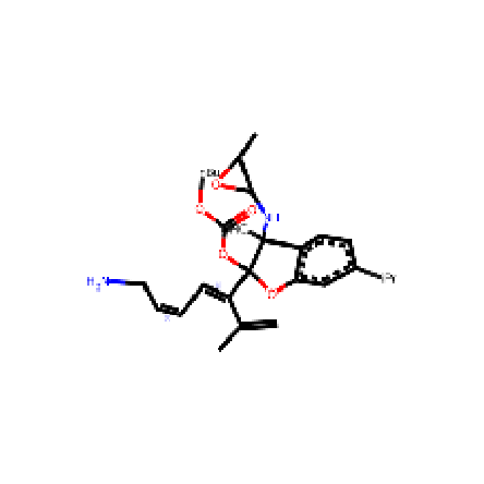 C=C(C)/C(=C\C=C/CN)C1(OC(=O)OCCCC)Oc2cc(C(C)C)ccc2C1(C=O)NC1OC1C